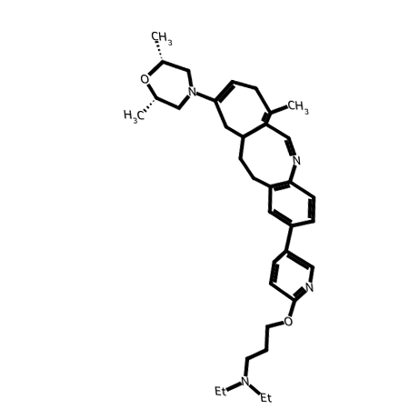 CCN(CC)CCCOc1ccc(-c2ccc3c(c2)CCC2CC(N4C[C@@H](C)O[C@@H](C)C4)=CCC(C)=C2/C=N\3)cn1